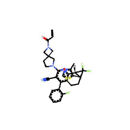 C=CC(=O)N1CC2(CCN(c3nc4c(c(-c5ccccc5F)c3C#N)CC[C@]3(c5scnc5C)[C@H]4C3(F)F)C2)C1